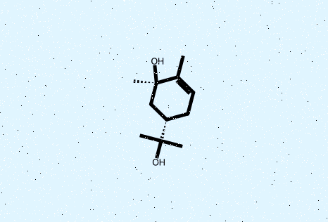 CC1=CC[C@H](C(C)(C)O)C[C@@]1(C)O